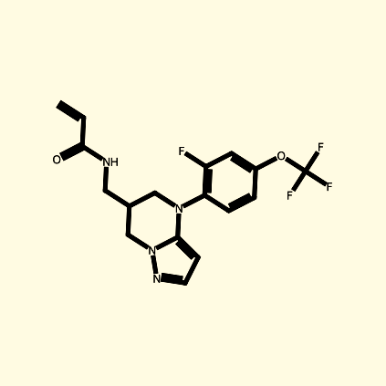 C=CC(=O)NCC1CN(c2ccc(OC(F)(F)F)cc2F)c2ccnn2C1